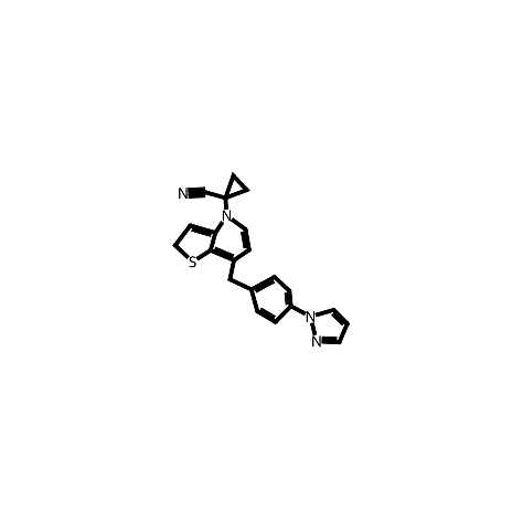 N#CC1(N2C=CC(Cc3ccc(-n4cccn4)cc3)=C3SCC=C32)CC1